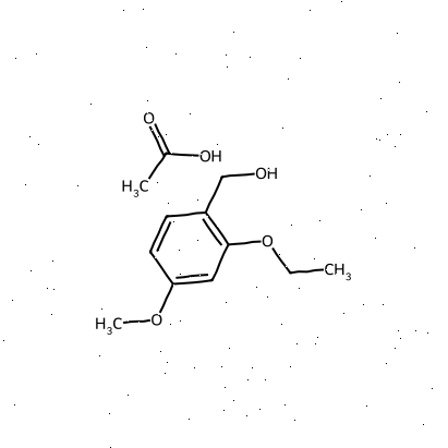 CC(=O)O.CCOc1cc(OC)ccc1CO